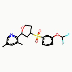 Cc1cnc(C2CC(S(=O)(=O)c3cccc(OC(F)F)c3)CCO2)c(C)c1